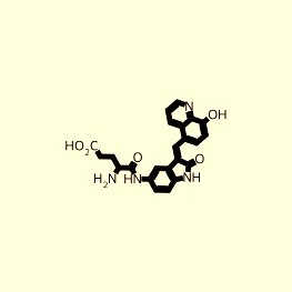 NC(CCC(=O)O)C(=O)Nc1ccc2c(c1)C(=Cc1ccc(O)c3ncccc13)C(=O)N2